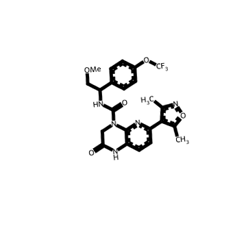 COCC(NC(=O)N1CC(=O)Nc2ccc(-c3c(C)noc3C)nc21)c1ccc(OC(F)(F)F)cc1